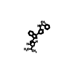 CC(C)N1C[C@@H]2C[C@H]1CN2c1nn(-c2ccnc(N[C@@H](C)c3ccccc3)c2)c2ccccc12